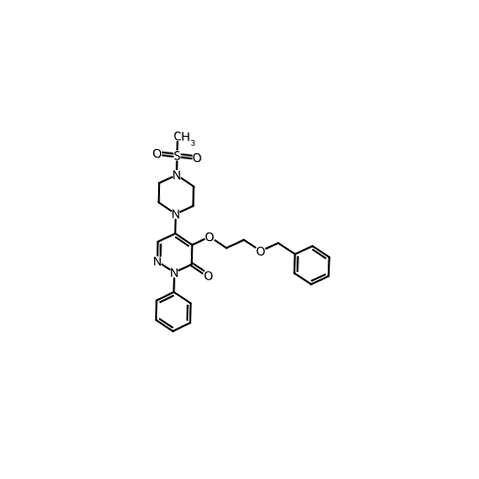 CS(=O)(=O)N1CCN(c2cnn(-c3ccccc3)c(=O)c2OCCOCc2ccccc2)CC1